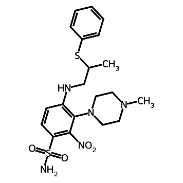 CC(CNc1ccc(S(N)(=O)=O)c([N+](=O)[O-])c1N1CCN(C)CC1)Sc1ccccc1